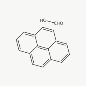 O=CO.c1cc2ccc3cccc4ccc(c1)c2c34